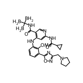 BC(B)(B)NC(=O)c1cnc(NC(=O)C2CC2)cc1Nc1cccc(-c2nc(CN3CCCC3)no2)c1OC